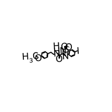 COc1ccc(CCNC(=O)C2=Nc3ccc(I)cc3S(=O)(=O)N2)cc1